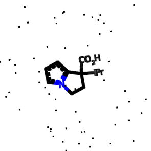 CC(C)C1(C(=O)O)CCn2cccc21